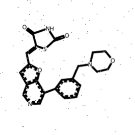 O=C1NC(=O)C(=Cc2cc3cncc(-c4cccc(CN5CCOCC5)c4)c3o2)S1